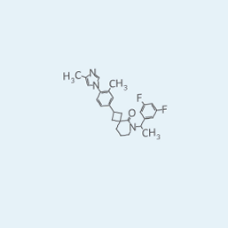 Cc1cn(-c2ccc(C3CC4(CCCN(C(C)c5cc(F)cc(F)c5)C4=O)C3)cc2C)cn1